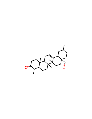 CC1CCC2(C=O)CCC3(C)C(=CCC4C5(C)CCC(=O)C(C)C5CCC43C)C2C1